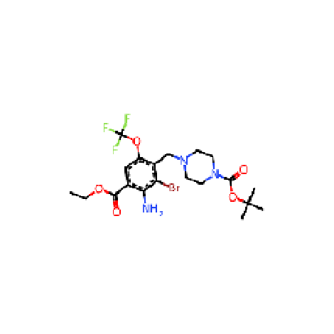 CCOC(=O)c1cc(OC(F)(F)F)c(CN2CCN(C(=O)OC(C)(C)C)CC2)c(Br)c1N